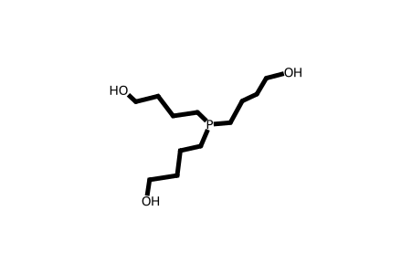 OCCCCP(CCCCO)CCCCO